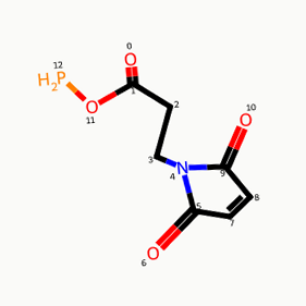 O=C(CCN1C(=O)C=CC1=O)OP